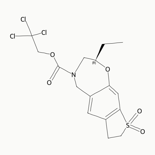 CC[C@@H]1CN(C(=O)OCC(Cl)(Cl)Cl)Cc2cc3c(cc2O1)S(=O)(=O)CC3